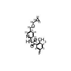 Cc1ccc(F)cc1S(=O)(=O)Nc1ccc(COCC2CC2)cn1